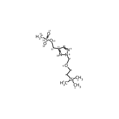 C[Si](C)(C)CCOCn1ncc(COS(C)(=O)=O)n1